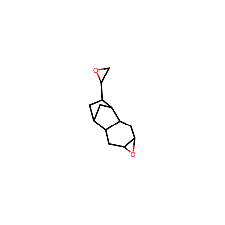 C1OC1C1CC2CC1C1CC3OC3CC21